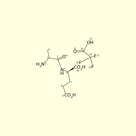 CC(N)C(=O)N[C@H](CCC(=O)O)C(=O)O.O=C(O)C(F)(F)F